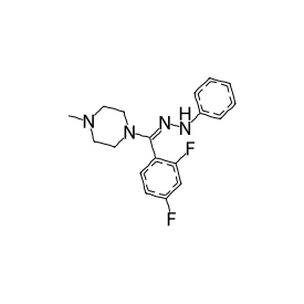 CN1CCN(C(=NNc2ccccc2)c2ccc(F)cc2F)CC1